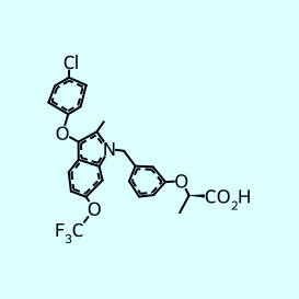 Cc1c(Oc2ccc(Cl)cc2)c2ccc(OC(F)(F)F)cc2n1Cc1cccc(O[C@H](C)C(=O)O)c1